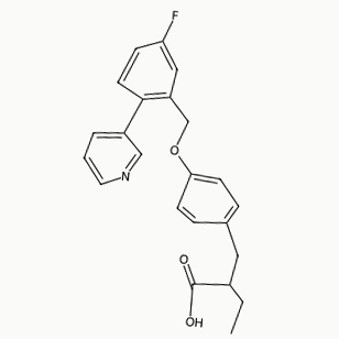 CCC(Cc1ccc(OCc2cc(F)ccc2-c2cccnc2)cc1)C(=O)O